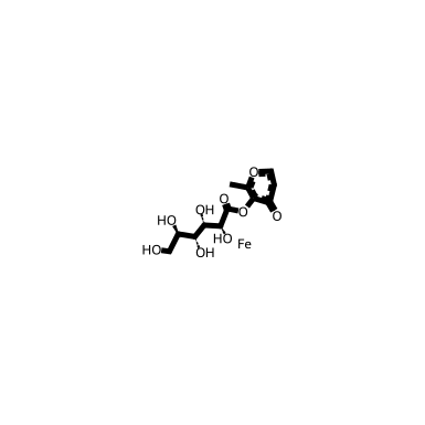 Cc1occc(=O)c1OC(=O)[C@H](O)[C@@H](O)[C@H](O)[C@H](O)CO.[Fe]